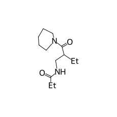 CCC(=O)NCC(CC)C(=O)N1CCCCC1